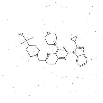 CC(C)(O)C1CCN(Cc2ccc3nc(-n4c(C5CC5)nc5ccccc54)nc(N4CCOCC4)c3n2)CC1